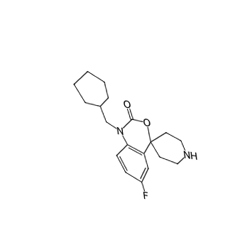 O=C1OC2(CCNCC2)c2cc(F)ccc2N1CC1CCCCC1